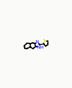 c1csc(-c2nc3cc4ccccc4cc3[nH]2)c1